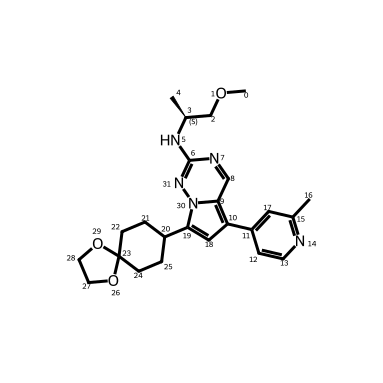 COC[C@H](C)Nc1ncc2c(-c3ccnc(C)c3)cc(C3CCC4(CC3)OCCO4)n2n1